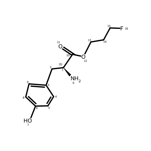 N[C@@H](Cc1ccc(O)cc1)C(=O)OCCCF